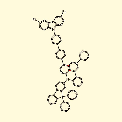 CCc1ccc2c(c1)c1cc(CC)ccc1n2-c1ccc(-c2ccc(-c3ccc(N(c4ccc5c(c4)C(c4ccccc4)(c4ccccc4)c4ccccc4-5)c4ccccc4-c4cccc(-c5ccccc5)c4)cc3)cc2)cc1